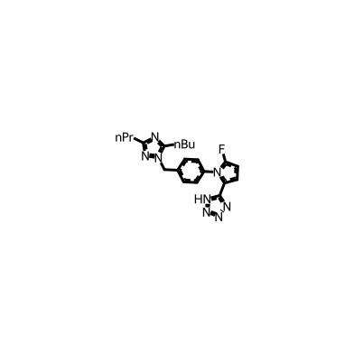 CCCCc1nc(CCC)nn1Cc1ccc(-n2c(F)ccc2-c2nnn[nH]2)cc1